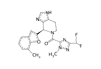 Cc1cccc2cc([C@H]3c4nc[nH]c4CCN3C(=O)c3nc(C(F)F)nn3C)oc12